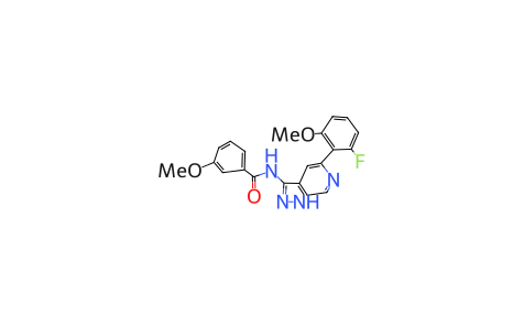 COc1cccc(C(=O)Nc2n[nH]c3cnc(-c4c(F)cccc4OC)cc23)c1